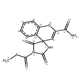 CCC(=O)N1C(=O)NC2(C=C(C(N)=O)Oc3ccccc32)C1=O